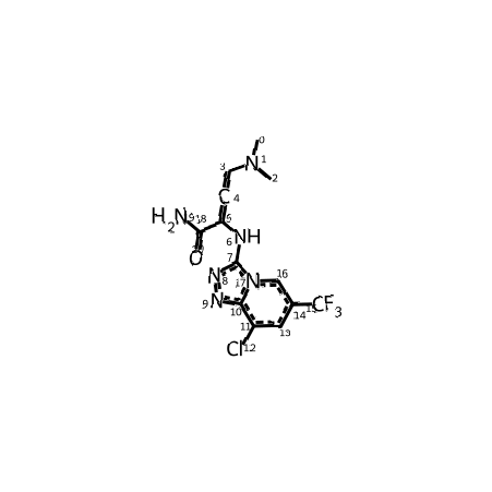 CN(C)C=C=C(Nc1nnc2c(Cl)cc(C(F)(F)F)cn12)C(N)=O